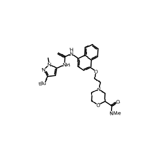 C=C(Nc1ccc(OCCN2CCOC(C(=O)NC)C2)c2ccccc12)Nc1cc(C(C)(C)C)nn1C